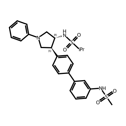 CC(C)S(=O)(=O)N[C@H]1CN(c2ccccc2)C[C@@H]1c1ccc(-c2cccc(NS(C)(=O)=O)c2)cc1